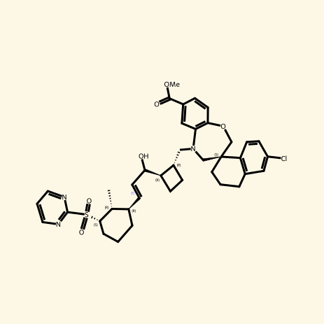 COC(=O)c1ccc2c(c1)N(C[C@@H]1CC[C@H]1C(O)/C=C/[C@H]1CCC[C@H](S(=O)(=O)c3ncccn3)[C@@H]1C)C[C@@]1(CCCc3cc(Cl)ccc31)CO2